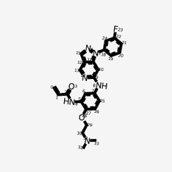 C=CC(=O)Nc1cc(Nc2cc3c(cn2)cnn3-c2cccc(F)c2)ccc1OCCN(C)C